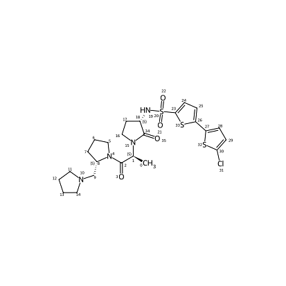 C[C@@H](C(=O)N1CCC[C@H]1CN1CCCC1)N1CC[C@H](NS(=O)(=O)c2ccc(-c3ccc(Cl)s3)s2)C1=O